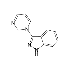 C1=CN(c2n[nH]c3ccccc23)CN=C1